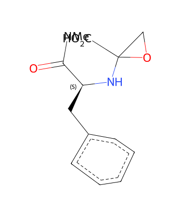 CNC(=O)[C@H](Cc1ccccc1)NC1(C(=O)O)CO1